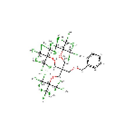 FC(F)(F)C(OCC(COCc1ccccc1)(COC(C(F)(F)F)(C(F)(F)F)C(F)(F)F)COC(C(F)(F)F)(C(F)(F)F)C(F)(F)F)(C(F)(F)F)C(F)(F)F